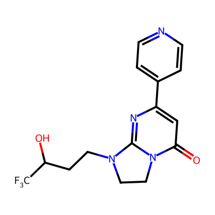 O=c1cc(-c2ccncc2)nc2n1CCN2CCC(O)C(F)(F)F